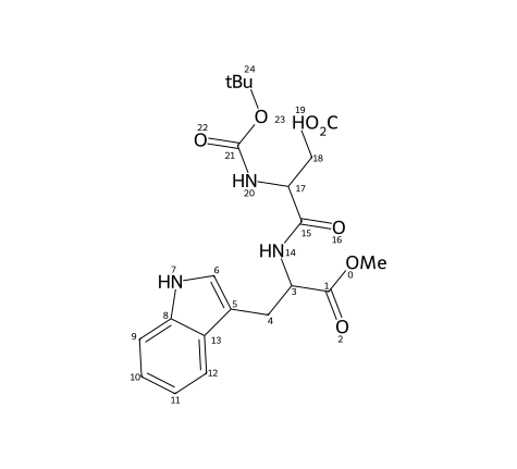 COC(=O)C(Cc1c[nH]c2ccccc12)NC(=O)C(CC(=O)O)NC(=O)OC(C)(C)C